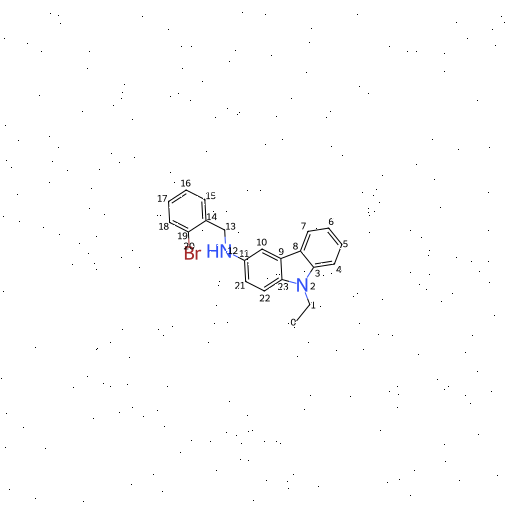 CCn1c2ccccc2c2cc(NCc3ccccc3Br)ccc21